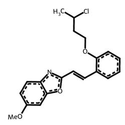 COc1ccc2nc(C=Cc3ccccc3OCCC(C)Cl)oc2c1